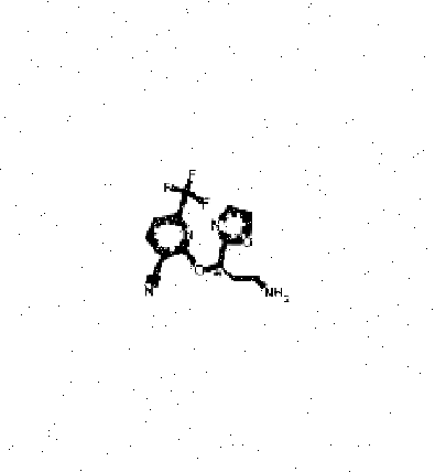 N#Cc1ccc(C(F)(F)F)nc1O[C@H](CCN)c1ncco1